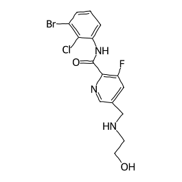 O=C(Nc1cccc(Br)c1Cl)c1ncc(CNCCO)cc1F